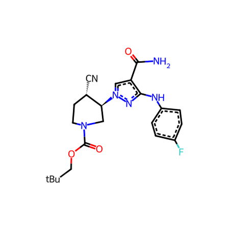 CC(C)(C)COC(=O)N1CC[C@H](C#N)[C@@H](n2cc(C(N)=O)c(Nc3ccc(F)cc3)n2)C1